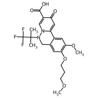 COCCCOc1cc2c(cc1OC)-c1cc(=O)c(C(=O)O)cn1N(C(C)(C)C(F)(F)F)C2